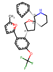 Cc1ccc(-c2ccc(OC(F)(F)F)cc2[C@@H]2CO[C@]3(CCCN[C@H]3c3ccccc3)C2)o1